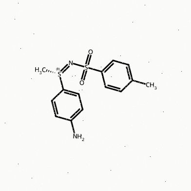 Cc1ccc(S(=O)(=O)N=[S@@](C)c2ccc(N)cc2)cc1